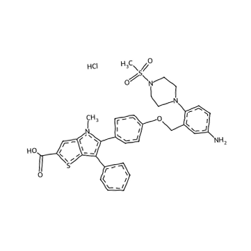 Cl.Cn1c(-c2ccc(OCc3cc(N)ccc3N3CCN(S(C)(=O)=O)CC3)cc2)c(-c2ccccc2)c2sc(C(=O)O)cc21